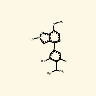 COc1ccc(-c2cc(C)c(C(C)C)c(F)c2)c2cn(C)nc12